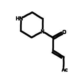 CC(=O)/C=C/C(=O)N1CCNCC1